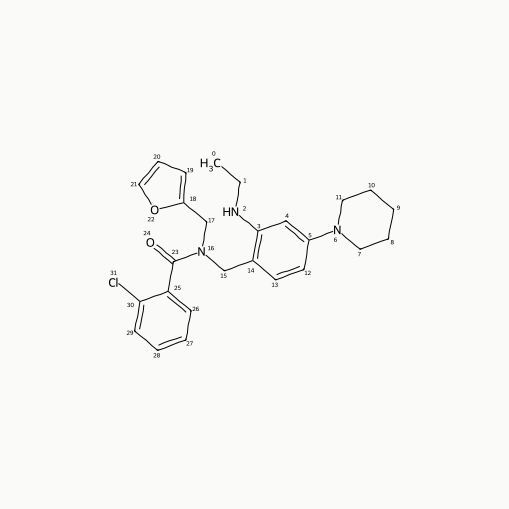 CCNc1cc(N2CCCCC2)ccc1CN(Cc1ccco1)C(=O)c1ccccc1Cl